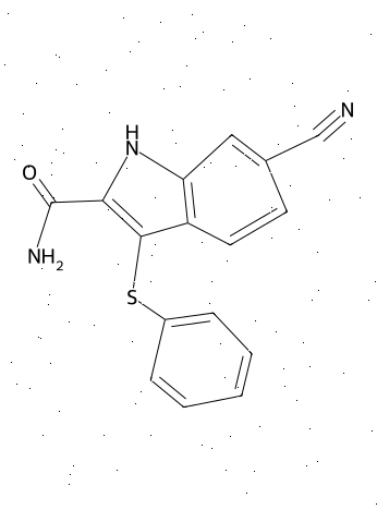 N#Cc1ccc2c(Sc3ccccc3)c(C(N)=O)[nH]c2c1